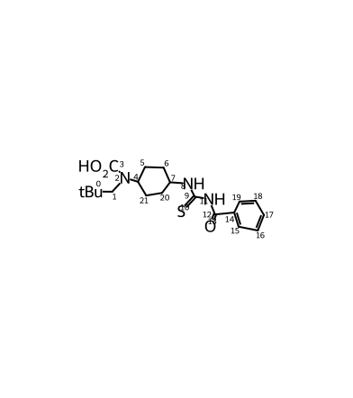 CC(C)(C)CN(C(=O)O)C1CCC(NC(=S)NC(=O)c2ccccc2)CC1